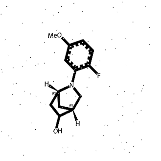 COc1ccc(F)c(N2C[C@H]3C[C@@H]2CC3O)c1